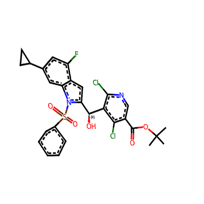 CC(C)(C)OC(=O)c1cnc(Cl)c([C@@H](O)c2cc3c(F)cc(C4CC4)cc3n2S(=O)(=O)c2ccccc2)c1Cl